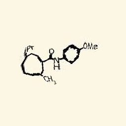 COc1ccc(NC(=O)C2=C[C@H](C(C)C)CCC=C(C)C2)cc1